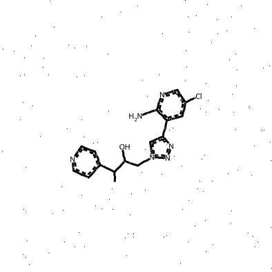 CC(c1ccncc1)C(O)Cn1cc(-c2cc(Cl)cnc2N)nn1